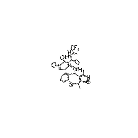 Cc1noc2c1C(Nn1ccc(=O)c(O)c1C(=O)N[C@H](C)C(F)(F)F)c1ccccc1SC2C